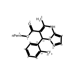 CCCCCOC(=O)C1=C(C)Nc2ccnn2C1c1ccccc1C(F)(F)F